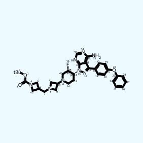 CC(C)(C)OC(=O)N1CC(CN2CC(N3CC[C@@H](n4nc(-c5ccc(Oc6ccccc6)cc5)c5c(N)ncnc54)[C@H](F)C3)C2)C1